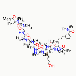 CC[C@H](NC(=O)C(C[C@H](C)CCCc1cccc(C(=O)N(C(C)C)C(C)C)c1)N(C)C(=O)CC(C)C)C(=O)N(C)[C@H](CSCCCCO)C(=O)N(C)[C@@H](CC(C)C)C(=O)N[C@H](C(=O)N(C)[C@@H](CC(C)C)C(=O)N[C@H](C)C(=O)NCC(=O)N(C)[C@@H](CC(C)C)C(=O)N(C)[C@@H](CC(C)C)C(=O)NC)C(C)C